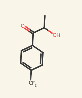 CC(O)C(=O)c1ccc(C(F)(F)F)cc1